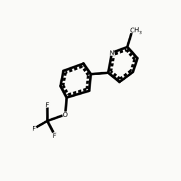 Cc1cccc(-c2cccc(OC(F)(F)F)c2)n1